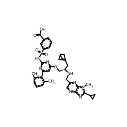 Cc1cccc(C)c1-c1cc(OC[C@@H](CC23CC(C2)C3)NCc2cnc3nc(C4CC4)n(C)c3n2)nc(NS(=O)(=O)c2cccc(C(=O)O)c2)n1